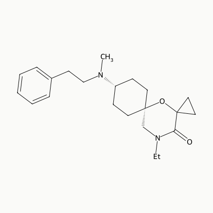 CCN1C[C@]2(CC[C@@H](N(C)CCc3ccccc3)CC2)OC2(CC2)C1=O